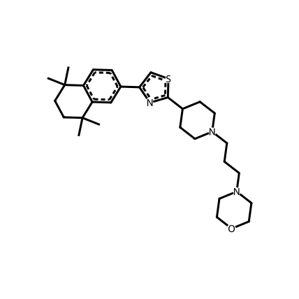 CC1(C)CCC(C)(C)c2cc(-c3csc(C4CCN(CCCN5CCOCC5)CC4)n3)ccc21